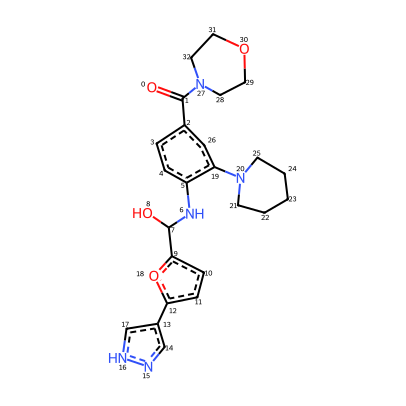 O=C(c1ccc(NC(O)c2ccc(-c3cn[nH]c3)o2)c(N2CCCCC2)c1)N1CCOCC1